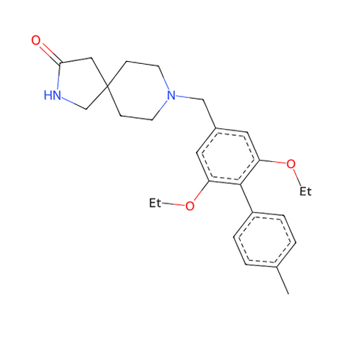 CCOc1cc(CN2CCC3(CC2)CNC(=O)C3)cc(OCC)c1-c1ccc(C)cc1